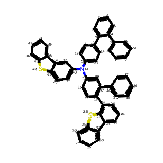 c1ccc(-c2ccccc2-c2ccc(N(c3ccc(-c4cccc5c4sc4ccccc45)c(-c4ccccc4)c3)c3ccc4sc5ccccc5c4c3)cc2)cc1